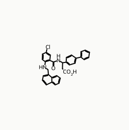 O=C(O)CC(NC(=O)c1cc(Cl)ccc1NCc1cccc2ccccc12)c1ccc(-c2ccccc2)cc1